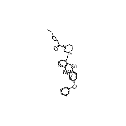 CCOCC(=O)N1CCC[C@@H](Cc2ccnc(N)c2Nc2ccc(Oc3ccccc3)cc2)C1